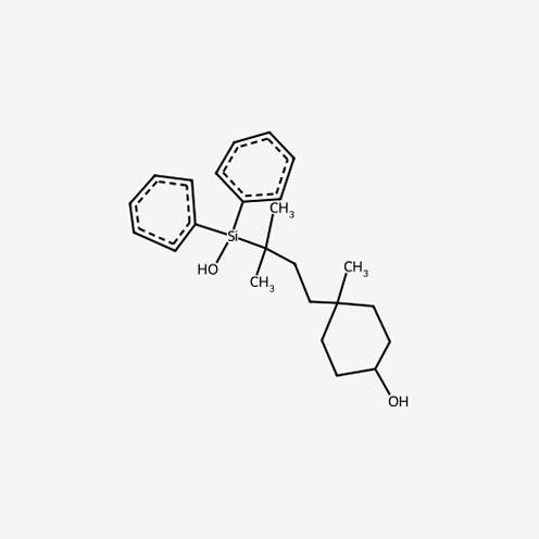 CC1(CCC(C)(C)[Si](O)(c2ccccc2)c2ccccc2)CCC(O)CC1